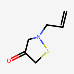 C=CCN1CC(=O)CS1